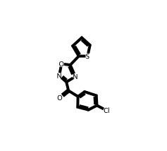 O=C(c1ccc(Cl)cc1)c1noc(-c2cccs2)n1